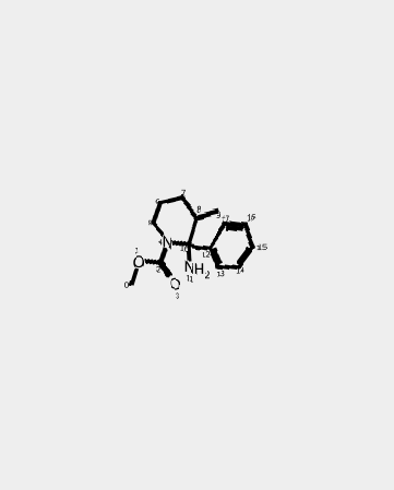 COC(=O)N1CCCC(C)C1(N)c1ccccc1